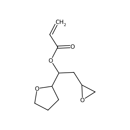 C=CC(=O)OC(CC1CO1)C1CCCO1